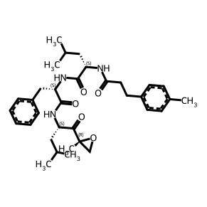 Cc1ccc(CCC(=O)N[C@@H](CC(C)C)C(=O)N[C@@H](Cc2ccccc2)C(=O)N[C@@H](CC(C)C)C(=O)[C@@]2(C)CO2)cc1